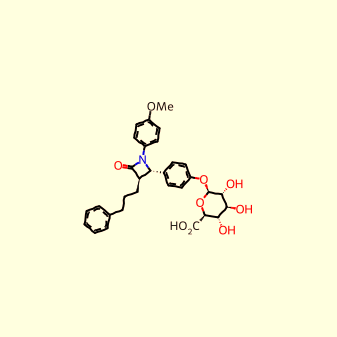 COc1ccc(N2C(=O)[C@H](CCCc3ccccc3)[C@H]2c2ccc(O[C@@H]3O[C@H](C(=O)O)[C@@H](O)[C@H](O)[C@H]3O)cc2)cc1